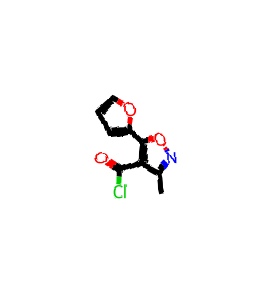 Cc1noc(-c2ccco2)c1C(=O)Cl